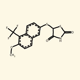 COc1ccc2cc(SC3SC(=O)NC3=O)ccc2c1C(F)(F)F